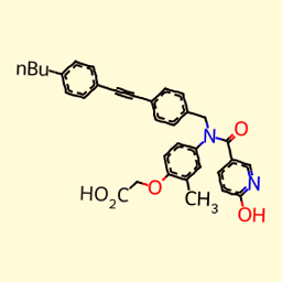 CCCCc1ccc(C#Cc2ccc(CN(C(=O)c3ccc(O)nc3)c3ccc(OCC(=O)O)c(C)c3)cc2)cc1